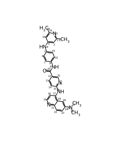 Cc1cc(Nc2ccc(NC(=O)c3ccc(Nc4ccnc5ccc(N(C)C)cc45)nc3)cc2)cc(C)n1